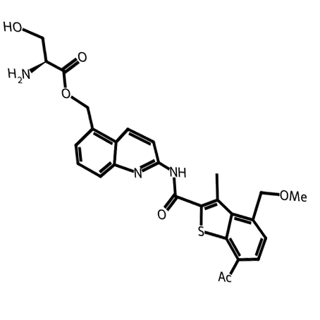 COCc1ccc(C(C)=O)c2sc(C(=O)Nc3ccc4c(COC(=O)[C@@H](N)CO)cccc4n3)c(C)c12